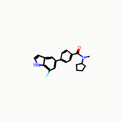 CN(C(=O)c1ccc(-c2cc(F)c3[nH]ccc3c2)cc1)C1CCCC1